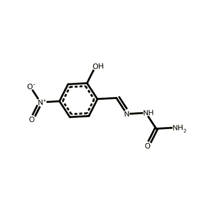 NC(=O)NN=Cc1ccc([N+](=O)[O-])cc1O